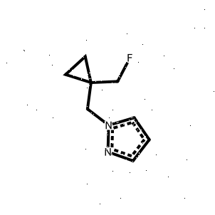 FCC1(Cn2cccn2)CC1